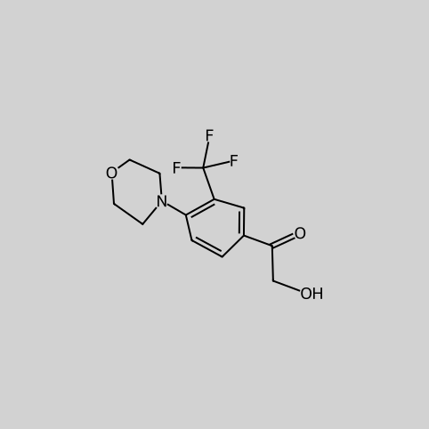 O=C(CO)c1ccc(N2CCOCC2)c(C(F)(F)F)c1